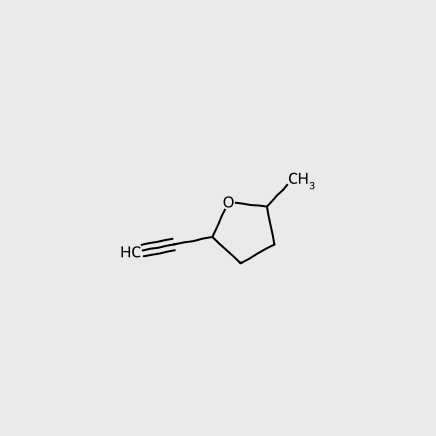 C#CC1CCC(C)O1